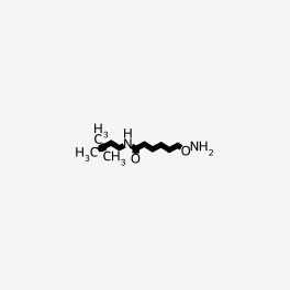 CC(C)(C)CCNC(=O)CCCCCON